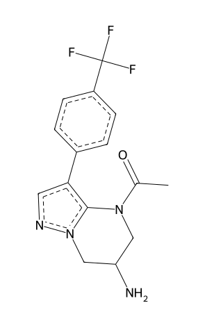 CC(=O)N1CC(N)Cn2ncc(-c3ccc(C(F)(F)F)cc3)c21